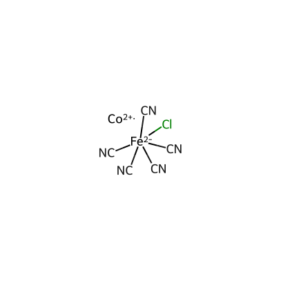 N#[C][Fe-2]([Cl])([C]#N)([C]#N)([C]#N)[C]#N.[Co+2]